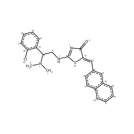 CN(C)C(CNC1=NC(=O)/C(=C/c2ccc3ncccc3c2)S1)c1ccccc1Cl